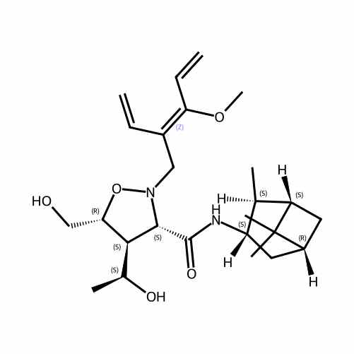 C=C/C(CN1O[C@@H](CO)[C@H]([C@H](C)O)[C@H]1C(=O)N[C@H]1C[C@H]2C[C@@H]([C@@H]1C)C2(C)C)=C(\C=C)OC